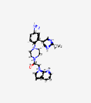 COc1ncc(-c2cc(N)ccc2N2CCN(C(=O)Cn3ccc4cccnc43)CC2)cn1